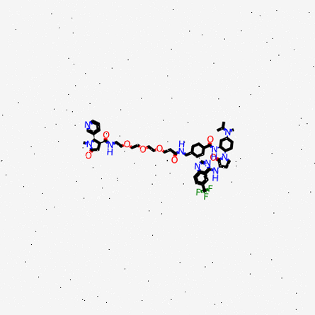 CC(C)N(C)[C@@H]1CC[C@H](N2CC[C@H](Nc3ncnc4ccc(C(F)(F)F)cc34)C2=O)[C@H](NC(=O)C2CCC(CNC(=O)CCOCCOCCOCCNC(=O)[C@H]3CC(=O)N(C)[C@@H]3c3cccnc3)CC2)C1